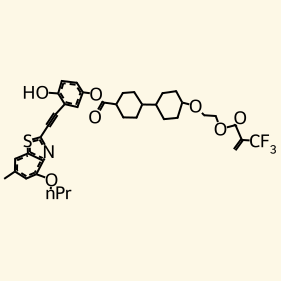 C=C(C(=O)OCCOC1CCC(C2CCC(C(=O)Oc3ccc(O)c(C#Cc4nc5c(OCCC)cc(C)cc5s4)c3)CC2)CC1)C(F)(F)F